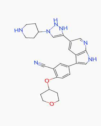 N#Cc1cc(-c2c[nH]c3ncc(C4=CN(C5CCNCC5)NN4)cc23)ccc1OC1CCOCC1